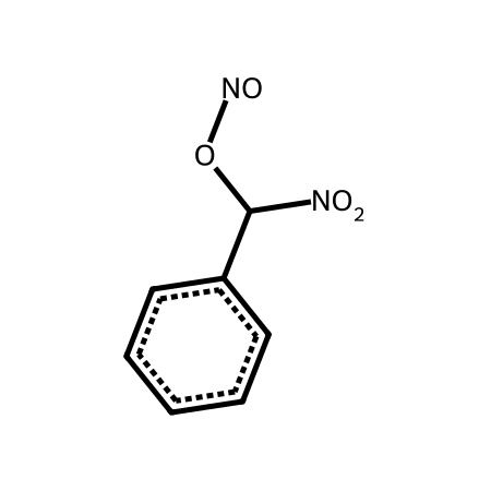 O=NOC(c1ccccc1)[N+](=O)[O-]